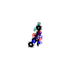 CCN(C)C(=O)C1CN(C2CCCCC2)CCC1NC(=O)c1cc(-c2ccc(F)cc2F)on1